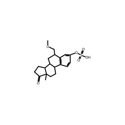 COCC1CC2C(CCC3(C)C(=O)CCC23)c2ccc(OS(=O)(=O)O)cc21